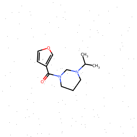 CC(C)N1CCCN(C(=O)c2ccoc2)C1